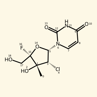 C[C@]1(O)[C@@H](Cl)[C@@H](n2ccc(=O)[nH]c2=O)O[C@]1(F)CO